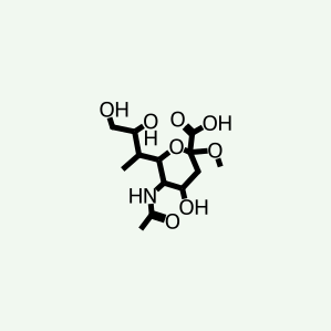 COC1(C(=O)O)CC(O)C(NC(C)=O)C(C(C)C(O)CO)O1